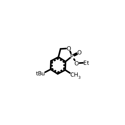 CCOP1(=O)OCc2cc(C(C)(C)C)cc(C)c21